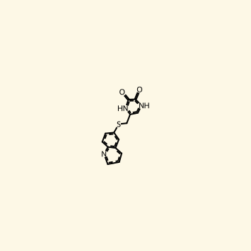 O=c1[nH]cc(CSc2ccc3ncccc3c2)[nH]c1=O